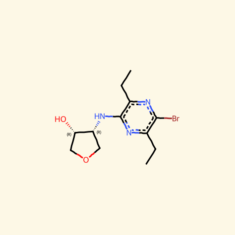 CCc1nc(N[C@@H]2COC[C@@H]2O)c(CC)nc1Br